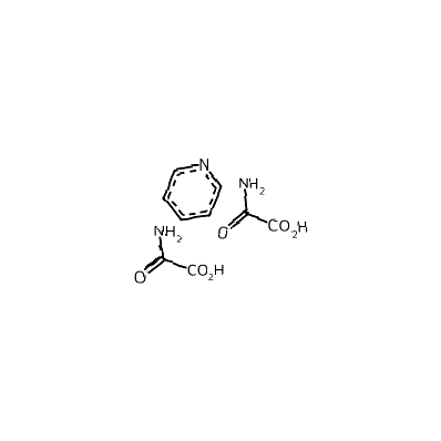 NC(=O)C(=O)O.NC(=O)C(=O)O.c1ccncc1